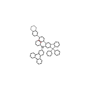 c1ccc(N(c2ccc3c4ccccc4c4ccccc4c3c2)c2cc3c(cc2-c2ccc(-c4ccc5c(c4)CCCC5)cc2)-c2ccccc2C3(c2ccccc2)c2ccccc2)cc1